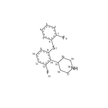 Fc1ccccc1Sc1cccc(F)c1C1CCNCC1